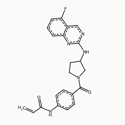 C=CC(=O)Nc1ccc(C(=O)N2CCC(Nc3ncc4c(F)cccc4n3)C2)cc1